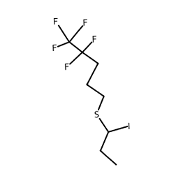 CCC(I)SCCCC(F)(F)C(F)(F)F